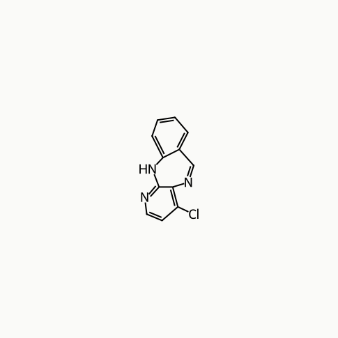 Clc1ccnc2c1N=Cc1ccccc1N2